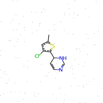 Cc1cc(Cl)c(C2C=CN=CN2)s1